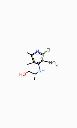 Cc1nc(Cl)c([N+](=O)[O-])c(N[C@@H](C)CO)c1C